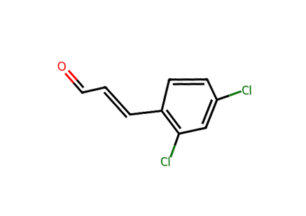 O=CC=Cc1ccc(Cl)cc1Cl